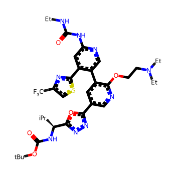 CCNC(=O)Nc1cc(-c2nc(C(F)(F)F)cs2)c(-c2cc(-c3nnc([C@@H](NC(=O)OC(C)(C)C)C(C)C)o3)cnc2OCCN(CC)CC)cn1